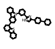 c1ccc(-c2ccc(-c3c[nH]c(-c4cccc(-n5c6ccccc6c6cc(-c7cccc8c7sc7ccccc78)ccc65)c4)n3)cc2)cc1